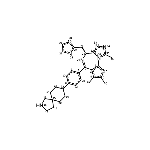 Cc1sc2c(c1C)C(c1ccc(C3CCC4(CCNC4)CC3)cc1)=N[C@@H](Cc1ncco1)c1nnc(C)n1-2